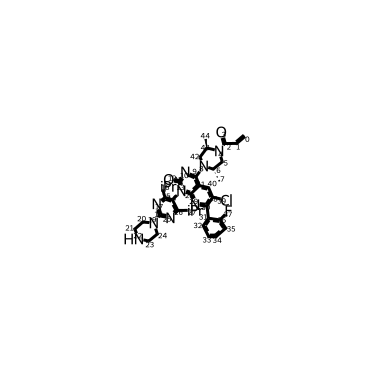 C=CC(=O)N1C[C@H](C)N(c2nc(=O)n(-c3c(C(C)C)nc(N4CCNCC4)nc3C(C)C)c3nc(-c4ccccc4F)c(Cl)cc23)C[C@H]1C